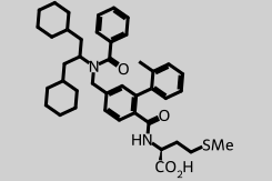 CSCC[C@H](NC(=O)c1ccc(CN(C(=O)c2ccccc2)C(CC2CCCCC2)CC2CCCCC2)cc1-c1ccccc1C)C(=O)O